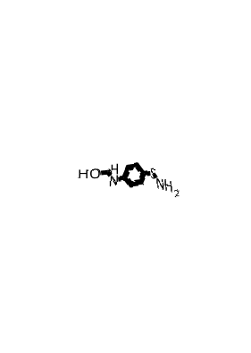 NSc1ccc(NCO)cc1